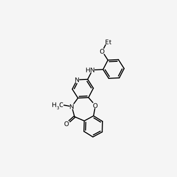 CCOc1ccccc1Nc1cc2c(cn1)N(C)C(=O)c1ccccc1O2